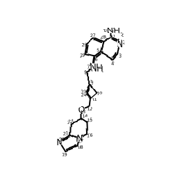 Nc1nccc2c(NCC34CC(COC5CCn6ccnc6C5)(C3)C4)cccc12